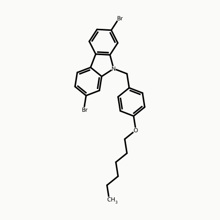 CCCCCCOc1ccc(Cn2c3cc(Br)ccc3c3ccc(Br)cc32)cc1